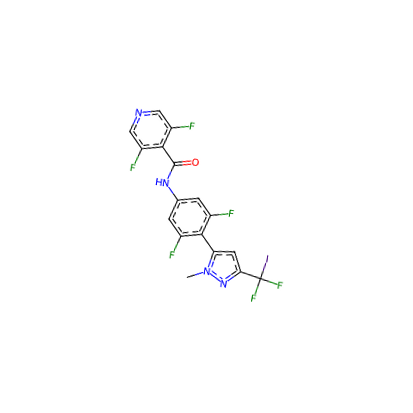 Cn1nc(C(F)(F)I)cc1-c1c(F)cc(NC(=O)c2c(F)cncc2F)cc1F